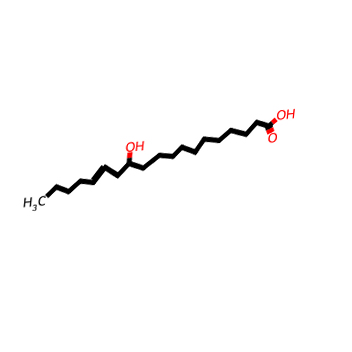 CCCCC=CCC(O)CCCCCCCCCCC(=O)O